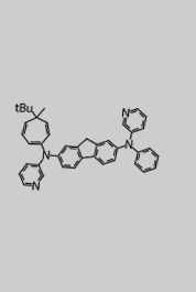 CC(C)(C)C1(C)C=CC=C(N(c2cccnc2)c2ccc3c(c2)Cc2cc(N(c4ccccc4)c4cccnc4)ccc2-3)C=C1